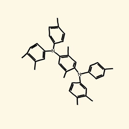 Cc1ccc(N(c2ccc(C)c(C)c2)c2cc(C)c(N(c3ccc(C)cc3)c3ccc(C)c(C)c3)cc2C)cc1